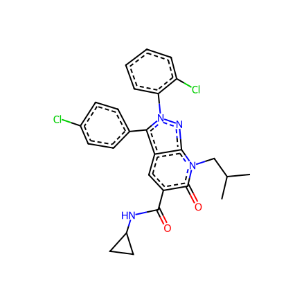 CC(C)Cn1c(=O)c(C(=O)NC2CC2)cc2c(-c3ccc(Cl)cc3)n(-c3ccccc3Cl)nc21